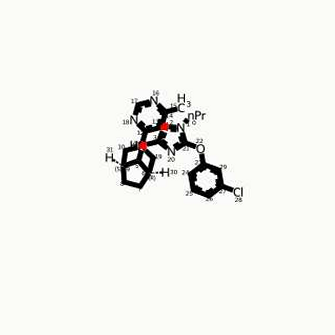 CCCn1nc(NC2[C@@H]3CC[C@H]2CN(c2cc(C)ncn2)C3)nc1Oc1cccc(Cl)c1